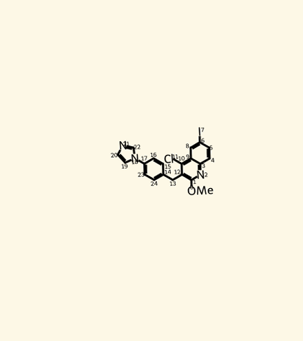 COc1nc2ccc(I)cc2c(Cl)c1Cc1ccc(-n2ccnc2)cc1